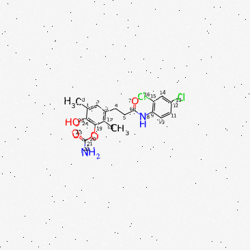 Cc1cc(CCC(=O)Nc2ccc(Cl)cc2Cl)c(C)c(OC(N)=O)c1O